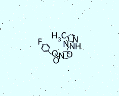 Cc1ccnc2[nH]c([C@@H]3CN(C(=O)OCc4ccc(F)cc4)CCO3)nc12